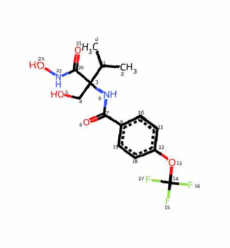 CC(C)C(CO)(NC(=O)c1ccc(OC(F)(F)F)cc1)C(=O)NO